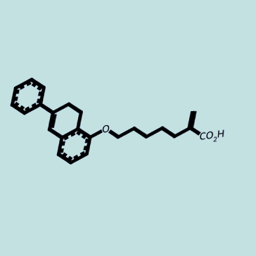 C=C(CCCCCOc1cccc2c1CCC(c1ccccc1)=C2)C(=O)O